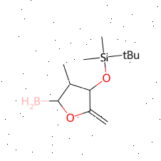 BC1OC(=C)C(O[Si](C)(C)C(C)(C)C)C1C